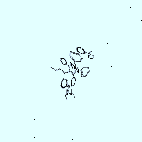 CCCCc1c(OC(=O)N(CC)CC)n(-c2ccccc2)n(-c2ccc(OC(C)=O)cc2)c1=O